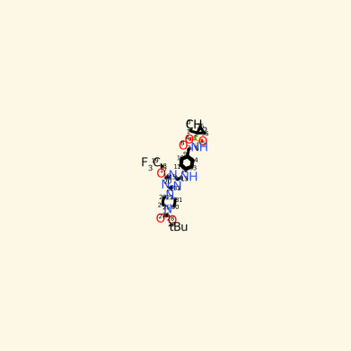 C=CC1(S(=O)(=O)NC(=O)c2ccc(Nc3nc(OCC(F)(F)F)nc(N4CCN(C(=O)OC(C)(C)C)CC4)n3)cc2)CC1